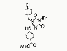 COC(=O)c1ccc(Nc2nc(=O)n(C(C)C)c(=O)n2Cc2ccc(Cl)cc2)cc1